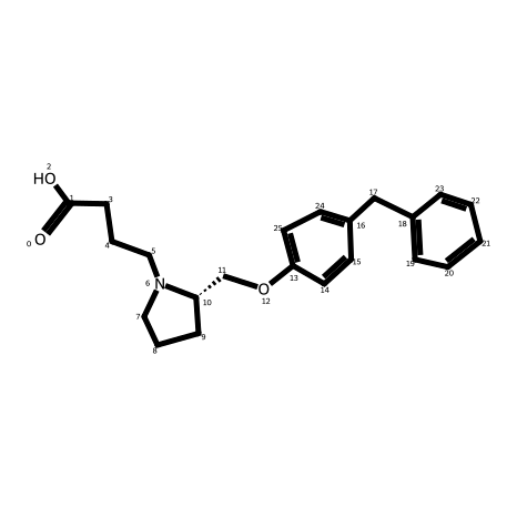 O=C(O)CCCN1CCC[C@H]1COc1ccc(Cc2ccccc2)cc1